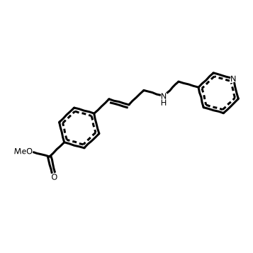 COC(=O)c1ccc(C=CCNCc2cccnc2)cc1